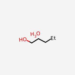 CCCCCO.O